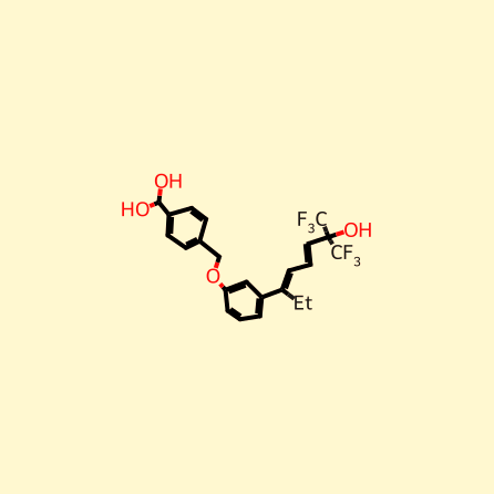 CCC(=CC=CC(O)(C(F)(F)F)C(F)(F)F)c1cccc(OCc2ccc(C(O)O)cc2)c1